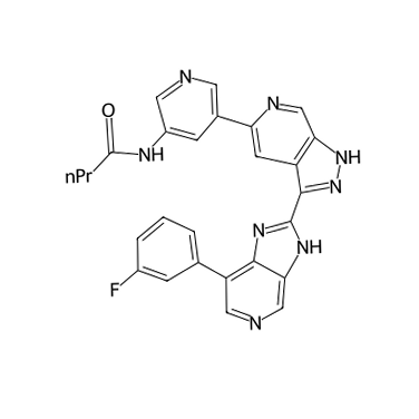 CCCC(=O)Nc1cncc(-c2cc3c(-c4nc5c(-c6cccc(F)c6)cncc5[nH]4)n[nH]c3cn2)c1